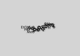 CCOC(=O)[C@@H](CO)NCc1c(OC)cc(-n2ncc3c(-c4cccc(-c5ccc(CNC[C@@H]6CCC(=O)N6)c(OC)n5)c4Cl)cccc32)cc1OC